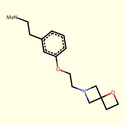 CNCCc1cccc(OCCN2CC3(CCO3)C2)c1